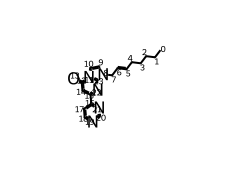 CCCCCC=CCn1ccn2c(=O)cc(-c3ccncn3)nc12